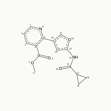 COC(=O)c1cccnc1-c1coc(NC(=O)C2CC2)c1